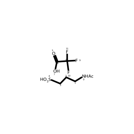 CC(=O)NCCCS(=O)(=O)O.O=C(O)C(F)(F)F